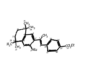 CCCCc1cc2c(cc1C(C)=Cc1ccc(C(=O)OCC)cc1)C(C)(C)CCC2(C)C